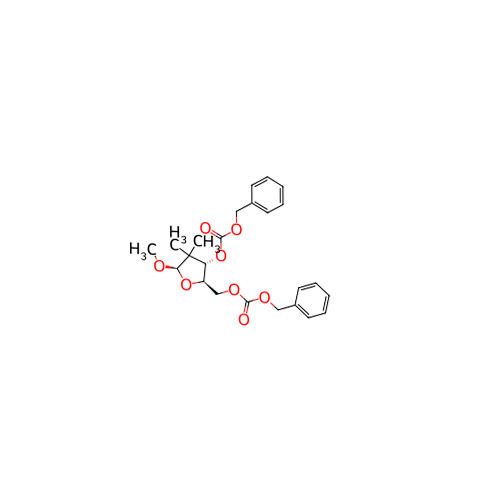 CO[C@@H]1O[C@H](COC(=O)OCc2ccccc2)[C@@H](OC(=O)OCc2ccccc2)C1(C)C